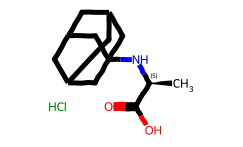 C[C@H](NC12CC3CC(CC(C3)C1)C2)C(=O)O.Cl